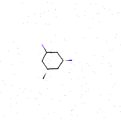 C[C@H]1CC(I)C[C@@H](N)C1